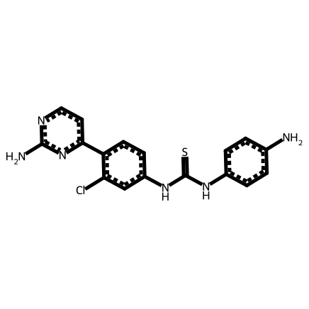 Nc1ccc(NC(=S)Nc2ccc(-c3ccnc(N)n3)c(Cl)c2)cc1